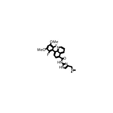 COc1cc(OC)c(F)c(-c2ccc(C(=O)Nc3nc(CN(C)C)c[nH]3)c3cccnc23)c1F